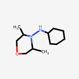 CC1COCC(C)N1NC1CCCCC1